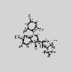 O=C(NC(C(F)(F)F)C(F)(F)F)c1cn(-c2c(F)cc(F)cc2F)c2nc(Cl)c(F)cc2c1=O